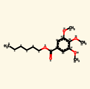 [CH2]CCCCCOC(=O)c1cc(OC)c(OC)c(OC)c1